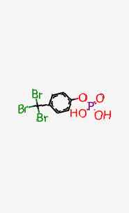 O=P(O)(O)Oc1ccc(C(Br)(Br)Br)cc1